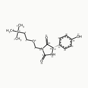 C[Si](C)(C)CCOCN1C(=O)N[C@@H](c2ccc(O)cc2)C1=O